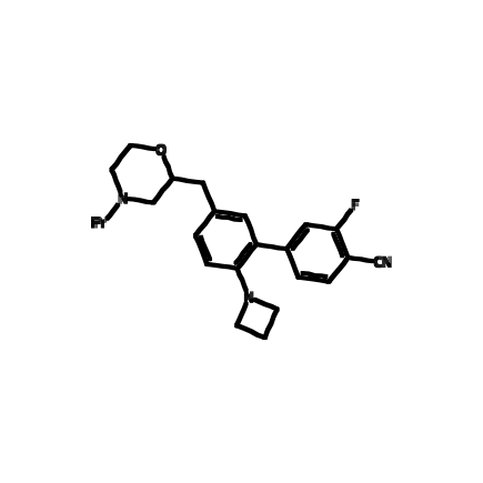 CC(C)N1CCOC(Cc2ccc(N3CCC3)c(-c3ccc(C#N)c(F)c3)c2)C1